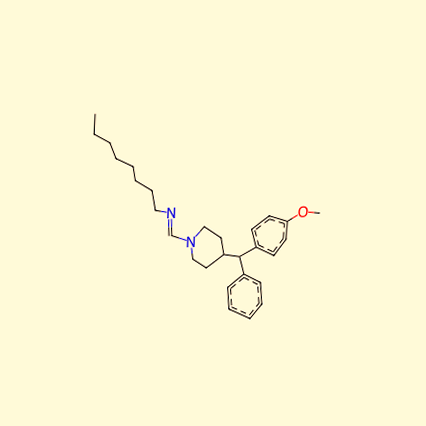 CCCCCCCCN=CN1CCC(C(c2ccccc2)c2ccc(OC)cc2)CC1